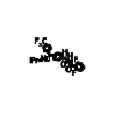 CC(C)C=NOC(c1ccc(NC(=O)NC(=O)c2c(F)cccc2F)cc1)c1ccc(C(F)(F)F)cc1